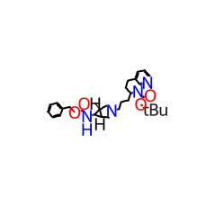 CC(C)(C)OC(=O)N1c2ncccc2CCC1CCCN1C[C@@H]2C(NC(=O)OCc3ccccc3)[C@@H]2C1